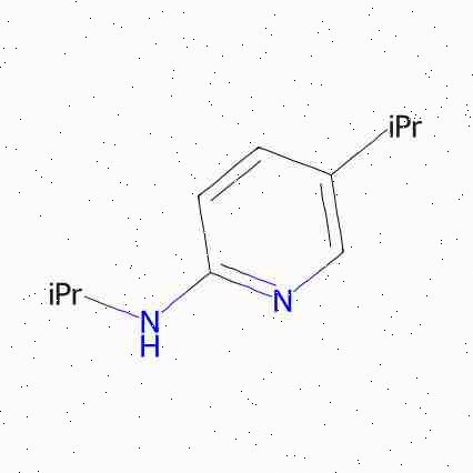 CC(C)Nc1ccc(C(C)C)cn1